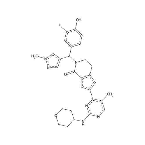 Cc1cnc(NC2CCOCC2)nc1-c1cc2n(c1)CCN(C(c1ccc(O)c(F)c1)c1cnn(C)c1)C2=O